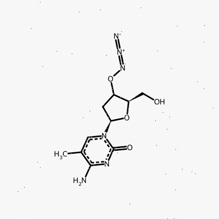 Cc1cn([C@H]2CC(ON=[N+]=[N-])[C@@H](CO)O2)c(=O)nc1N